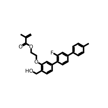 C=C(C)C(=O)OCCOc1cc(-c2ccc(-c3ccc(C)cc3)cc2F)ccc1CO